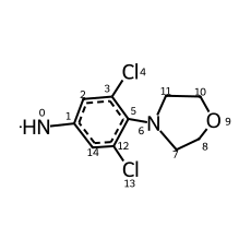 [NH]c1cc(Cl)c(N2CCOCC2)c(Cl)c1